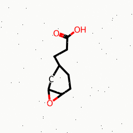 O=C(O)CCC1CCC2OC2C1